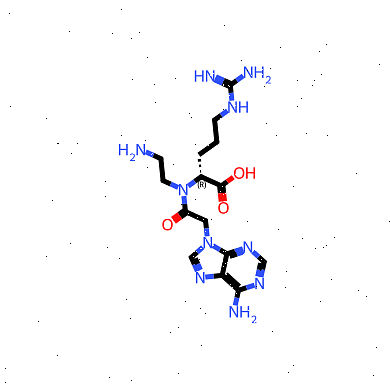 N=C(N)NCCC[C@H](C(=O)O)N(CCN)C(=O)Cn1cnc2c(N)ncnc21